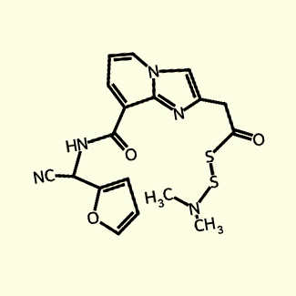 CN(C)SSC(=O)Cc1cn2cccc(C(=O)NC(C#N)c3ccco3)c2n1